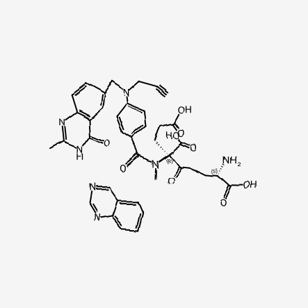 C#CCN(Cc1ccc2nc(C)[nH]c(=O)c2c1)c1ccc(C(=O)N(C)[C@@](CCC(=O)O)(C(=O)O)C(=O)CC[C@H](N)C(=O)O)cc1.c1ccc2ncncc2c1